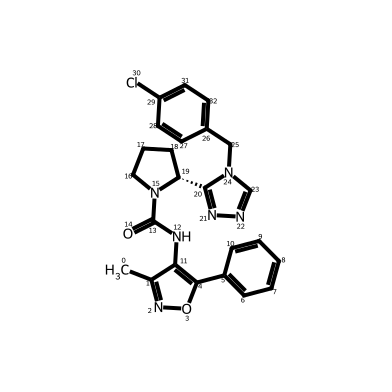 Cc1noc(-c2ccccc2)c1NC(=O)N1CCC[C@@H]1c1nncn1Cc1ccc(Cl)cc1